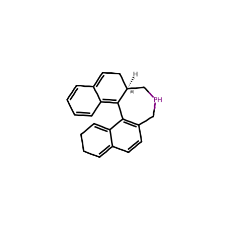 C1=c2ccccc2=C2c3c(ccc4c3=CCCC=4)CPC[C@@H]2C1